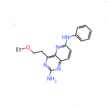 CCOCCc1nc(N)nc2ccc(Nc3ccccc3)nc12